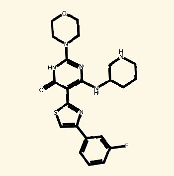 O=c1[nH]c(N2CCOCC2)nc(NC2CCCNC2)c1-c1nc(-c2cccc(F)c2)cs1